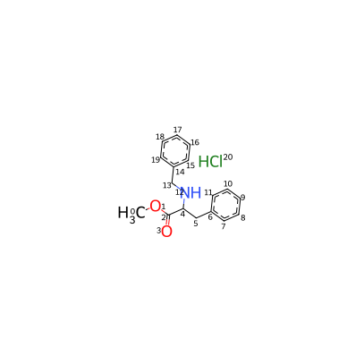 COC(=O)C(Cc1ccccc1)NCc1ccccc1.Cl